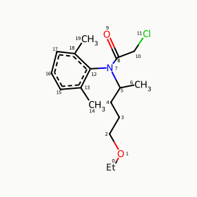 CCOCCCC(C)N(C(=O)CCl)c1c(C)cccc1C